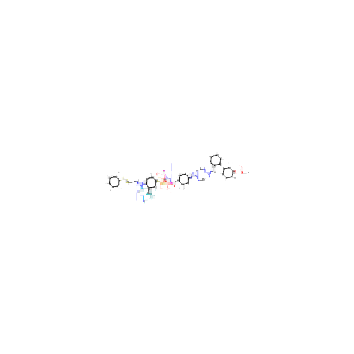 CCOc1cccc(-c2ccccc2CN2CCN(c3ccc(C(=O)NS(=O)(=O)c4ccc(NCCSc5ccccc5)c(C(F)(F)F)c4)cc3)CC2)c1